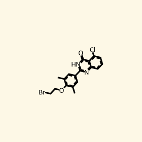 Cc1cc(-c2nc3cccc(Cl)c3c(=O)[nH]2)cc(C)c1OCCBr